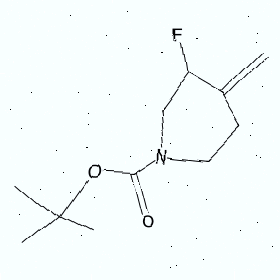 C=C1CCN(C(=O)OC(C)(C)C)CC1F